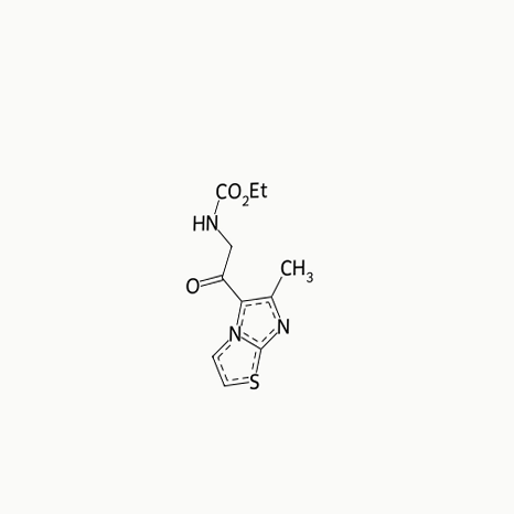 CCOC(=O)NCC(=O)c1c(C)nc2sccn12